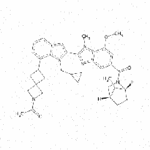 COc1cc(C(=O)N2C[C@H]3CC[C@@H]2C3C)cc2nc(-c3cc4cccc(C5CC6(C5)CN(C(C)=O)C6)c4n3CC3CC3)n(C)c12